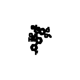 CCOc1cc(C(CS(C)(=O)=O)n2c(=O)[nH]c3c(-c4cccc(F)c4)cccc32)ccc1OC